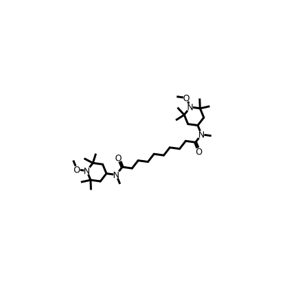 CON1C(C)(C)CC(N(C)C(=O)CCCCCCCCC(=O)N(C)C2CC(C)(C)N(OC)C(C)(C)C2)CC1(C)C